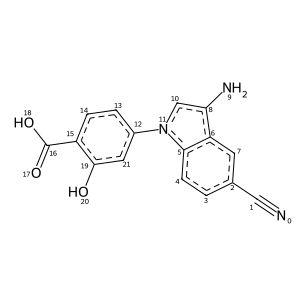 N#Cc1ccc2c(c1)c(N)cn2-c1ccc(C(=O)O)c(O)c1